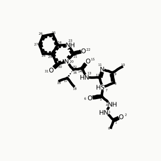 CC(=O)NNC(=O)[SH]1C=C(C)N=C1NC(=O)[C@H](C(C)C)n1c(=O)[nH]c2ccccc2c1=O